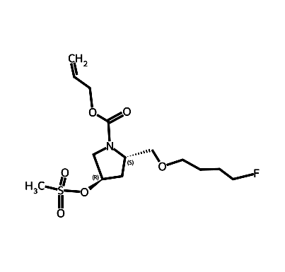 C=CCOC(=O)N1C[C@H](OS(C)(=O)=O)C[C@H]1COCCCCF